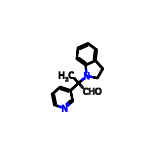 CC(C=O)(c1cccnc1)N1CCc2ccccc21